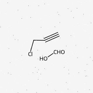 C#CCCl.O=CO